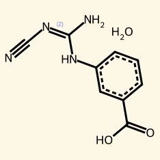 N#C/N=C(/N)Nc1cccc(C(=O)O)c1.O